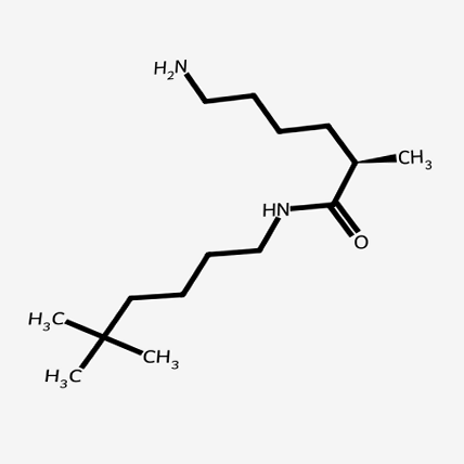 C[C@H](CCCCN)C(=O)NCCCCC(C)(C)C